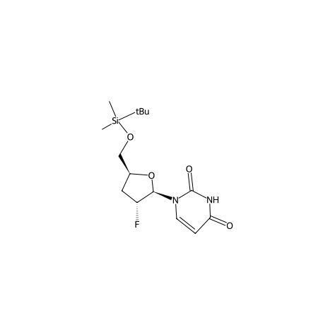 CC(C)(C)[Si](C)(C)OC[C@@H]1C[C@@H](F)[C@H](n2ccc(=O)[nH]c2=O)O1